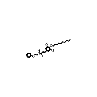 CCCCCCCCCCOc1c(OC)cc(/C=C/C(=O)NCCOc2ccccc2)cc1OC